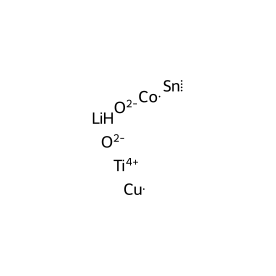 [Co].[Cu].[LiH].[O-2].[O-2].[Sn].[Ti+4]